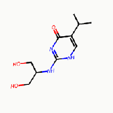 CC(C)c1c[nH]c(NC(CO)CO)nc1=O